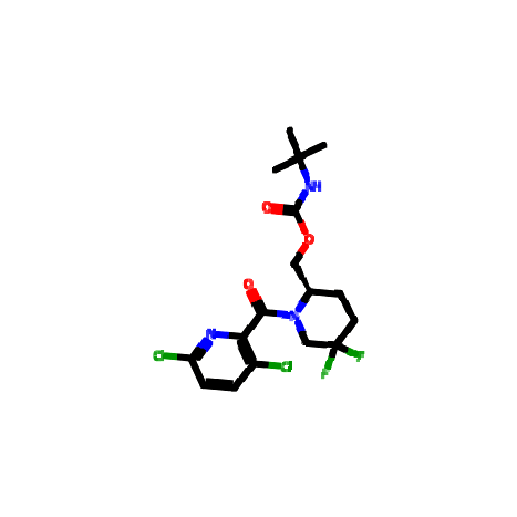 CC(C)(C)NC(=O)OC[C@H]1CCC(F)(F)CN1C(=O)c1nc(Cl)ccc1Cl